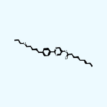 CC/C=C/CCCCC(=O)Oc1cnc(-c2ccc(CCCCCOCCC)cc2)nc1